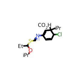 CCC(OC(C)C)S/C=N/C1=CC(C(=O)O)(C(C)C)C(Cl)C=C1